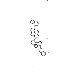 c1ccc2cc(-c3cccc4c3oc3cccc(-c5ccc6ccc7c(-c8cccc9ccccc89)ccc8ccc5c6c87)c34)ccc2c1